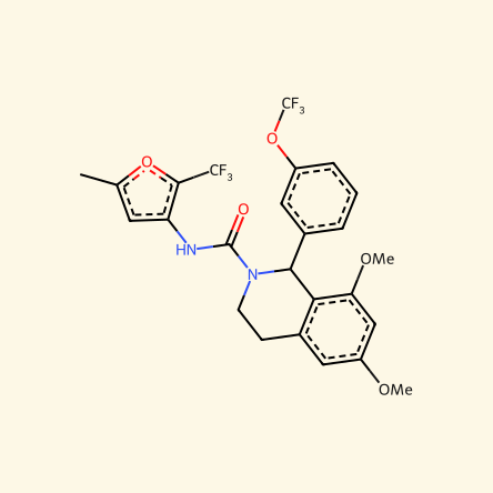 COc1cc2c(c(OC)c1)C(c1cccc(OC(F)(F)F)c1)N(C(=O)Nc1cc(C)oc1C(F)(F)F)CC2